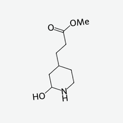 COC(=O)CCC1CCNC(O)C1